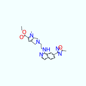 CCOC(=O)c1cc2c(n1C)CN(CCNc1nccc3ccc(-c4noc(C)n4)cc13)C2